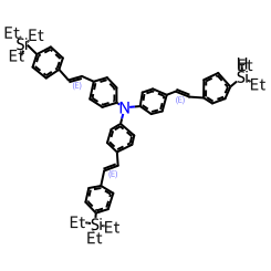 CC[SiH](CC)c1ccc(/C=C/c2ccc(N(c3ccc(/C=C/c4ccc([Si](CC)(CC)CC)cc4)cc3)c3ccc(/C=C/c4ccc([Si](CC)(CC)CC)cc4)cc3)cc2)cc1